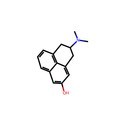 CN(C)C1Cc2cccc3cc(O)cc(c23)C1